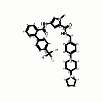 Cn1cc(NC(=O)c2ccccc2-c2ccc(C(F)(F)F)cc2)cc1C(=O)NCc1ccc(N2CCC(N3CCCC3)CC2)cc1